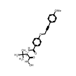 COc1ccc(C#CCOc2ccc(C(=O)N[C@H](C(=O)NO)C(C)(C)N)cc2)cc1